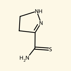 NC(=S)C1=NNCC1